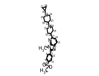 Cn1c(-c2ccc(S(C)(=O)=O)cc2)nc2ccc(C3CCN(C4CCN(C5CC5)CC4)CC3)nc21